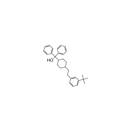 CC(C)(C)c1cccc(CCC2CCC(C(O)(c3ccccc3)c3ccccc3)CC2)c1